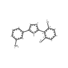 Nc1cccc(-c2cnc(-c3c(Cl)cccc3Cl)s2)c1